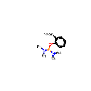 CCCCCCCCCc1ccccc1OP(N(CC)CC)N(CC)CC